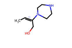 C/C=C(\CO)N1CCNCC1